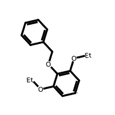 CCOc1c[c]cc(OCC)c1OCc1ccccc1